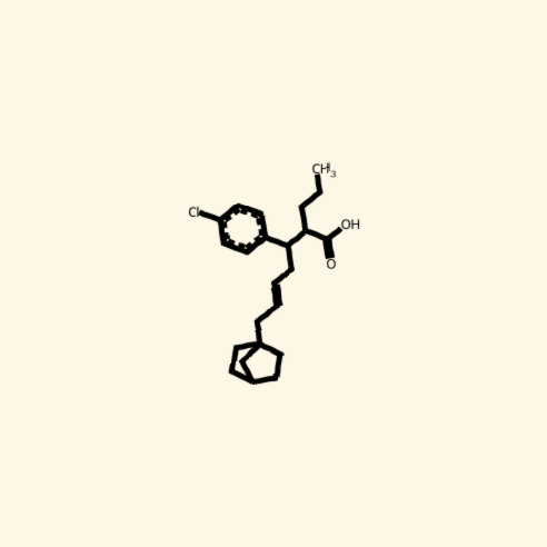 CCCC(C(=O)O)C(CC=CCC12CCC(CC1)C2)c1ccc(Cl)cc1